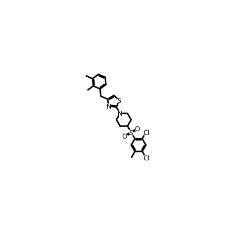 Cc1cc(S(=O)(=O)C2CCN(c3nc(Cc4cccc(C)c4C)cs3)CC2)c(Cl)cc1Cl